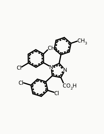 Cc1cccc(-c2nc(C(=O)O)c(-c3cc(Cl)ccc3Cl)n2-c2cc(Cl)ccc2C)c1